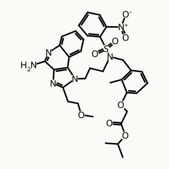 COCCc1nc2c(N)nc3ccccc3c2n1CCCN(Cc1cccc(OCC(=O)OC(C)C)c1C)S(=O)(=O)c1ccccc1[N+](=O)[O-]